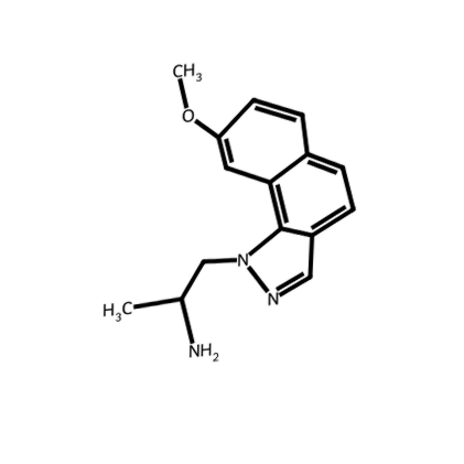 COc1ccc2ccc3cnn(CC(C)N)c3c2c1